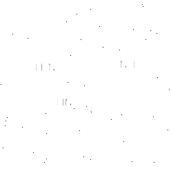 Nc1[nH]nc2c1CNC2